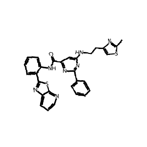 Cc1nc(CCNc2cc(C(=O)Nc3ccccc3-c3nc4cccnc4s3)nc(-c3ccccc3)n2)cs1